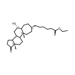 CCOC(=O)CCCCC[C@@H]1CCC2[C@@H](O)CC3C(CC[C@]4(C)C(=O)CCC34)[C@@]2(C)CC1